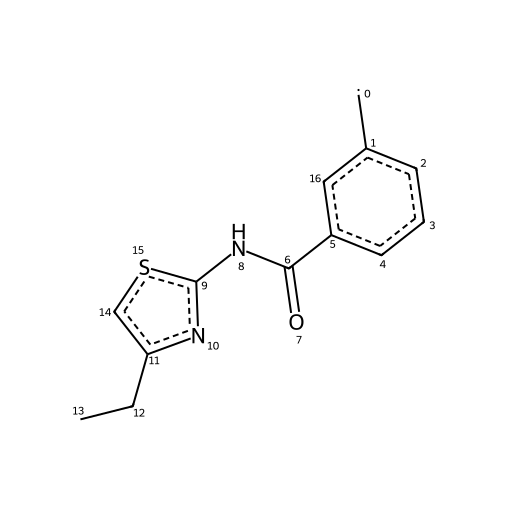 [CH2]c1cccc(C(=O)Nc2nc(CC)cs2)c1